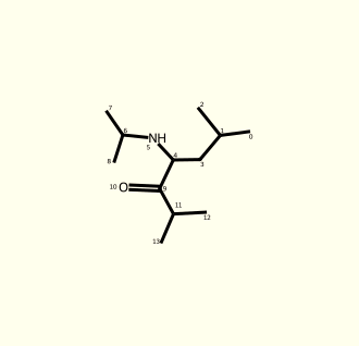 CC(C)CC(NC(C)C)C(=O)C(C)C